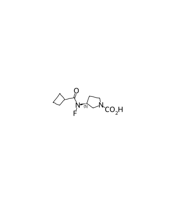 O=C(O)N1CC[C@H](N(F)C(=O)C2CCC2)C1